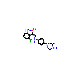 CC1CN(c2ccc(N/C=C3/C(=O)Nc4cccc(F)c43)cc2)CC(C)N1